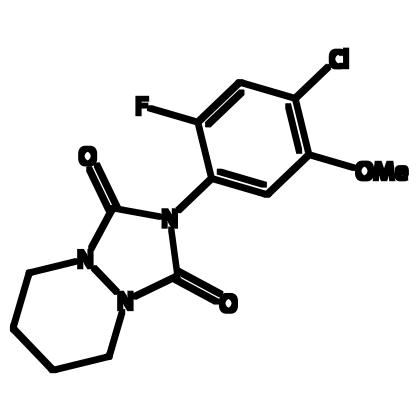 COc1cc(-n2c(=O)n3n(c2=O)CCCC3)c(F)cc1Cl